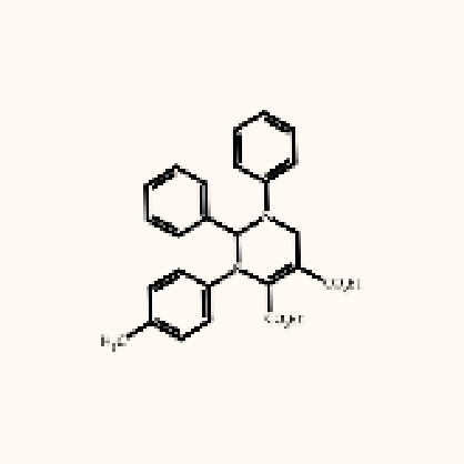 CCOC(=O)C1=C(C(=O)OCC)N(c2ccc(C)cc2)C(c2ccccc2)N(c2ccccc2)C1